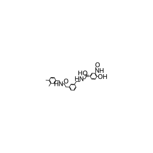 Cc1ccc(CNC(=O)Cc2cccc(CCNC[C@H](O)c3ccc(O)c(NC=O)c3)c2)cc1C